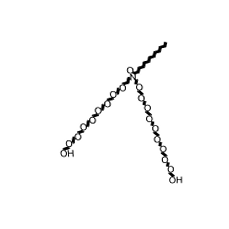 CCCCCCCCCCCCC(=O)N(CCCOCCOCCOCCOCCOCCOCCOCCOCCO)CCOCCOCCOCCOCCOCCOCCOCCOCCOCCO